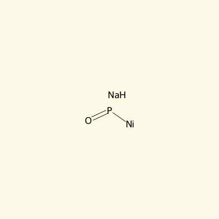 O=[P][Ni].[NaH]